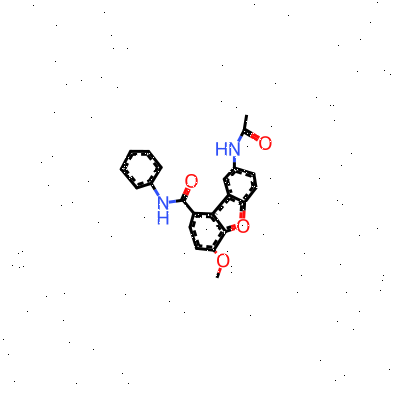 COc1ccc(C(=O)Nc2ccccc2)c2c1oc1ccc(NC(C)=O)cc12